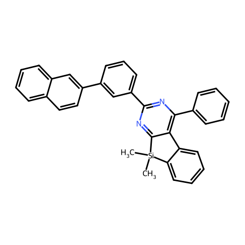 C[Si]1(C)c2ccccc2-c2c(-c3ccccc3)nc(-c3cccc(-c4ccc5ccccc5c4)c3)nc21